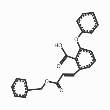 O=C(/C=C/c1cccc(Oc2ccccc2)c1C(=O)O)OCc1ccccc1